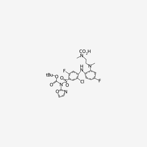 CN(CCN(C)c1cc(F)ccc1Nc1cc(F)c(S(=O)(=O)N(C(=O)OC(C)(C)C)c2ncco2)cc1Cl)C(=O)O